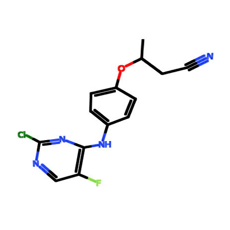 CC(CC#N)Oc1ccc(Nc2nc(Cl)ncc2F)cc1